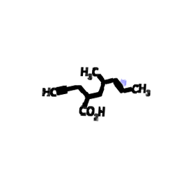 C#CCC(CC(C)/C=C/C)C(=O)O